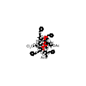 CC[C@@H](OC(C)=O)[C@@H](C)C1O[C@@](OCC2O[C@@H](O[C@@H]3C(OCc4ccccc4)[C@H](OCCCc4ccccc4)OC(COCc4ccccc4)[C@@H]3C)C(NC(=O)OCC(Cl)(Cl)Cl)[C@@H](O[C@@H]3OC(COCc4ccccc4)C(OC4OC(COC(C)=O)[C@@H](OCc5ccccc5)[C@H](C)[C@@H]4C)[C@H](C)C3OC(=O)c3ccccc3)[C@@H]2C)(C(=O)OC)C[C@@H](OC(N)=O)[C@H]1C(C)=O